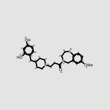 COc1ccc2c(c1)CN(C(=O)CCN1CCC(Cc3ccc(O)cc3O)CC1)CCS2